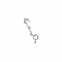 COCCOCCOC1=CC=C[C](F)C1